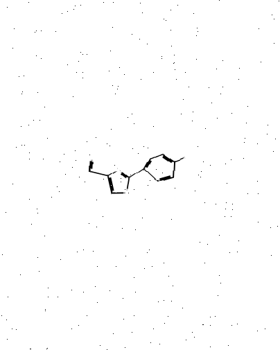 O=Cc1coc(-c2ccc(Cl)cc2)n1